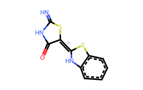 N=C1NC(=O)/C(=C2\Nc3ccccc3S2)S1